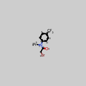 CC(C)N(C(=O)CBr)c1ccc(C(F)(F)F)cc1